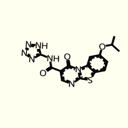 CC(C)Oc1ccc2sc3ncc(C(=O)Nc4nnn[nH]4)c(=O)n3c2c1